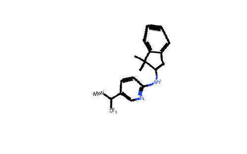 CNC(c1ccc(NC2Cc3ccccc3C2(C)C)nc1)C(F)(F)F